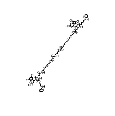 O=C(O)CC(NC(=O)[C@H](CCC(=O)NCCOCCOCCOCCNC(=O)NCCCCNC(=O)NCCOCCOCCOCCNC(=O)CC[C@H](NC(=O)CCCCNc1ccccn1)C(=O)NC(CC(=O)O)c1cc(Cl)cc(Cl)c1)NC(=O)CCCCNc1ccccn1)c1cc(Cl)cc(Cl)c1